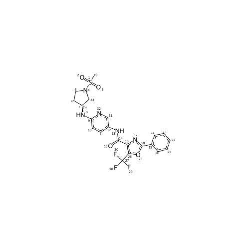 CS(=O)(=O)N1CC[C@H](Nc2ccc(NC(=O)c3nc(-c4ccccc4)oc3C(F)(F)F)cn2)C1